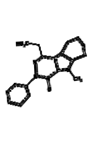 Cn1c2ccccc2c2c(CC(=O)O)nn(-c3ccccc3)c(=O)c21